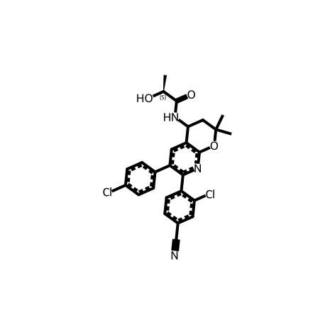 C[C@H](O)C(=O)NC1CC(C)(C)Oc2nc(-c3ccc(C#N)cc3Cl)c(-c3ccc(Cl)cc3)cc21